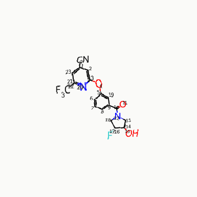 N#Cc1cc(Oc2cccc(C(=O)N3C[C@@H](O)[C@H](F)C3)c2)nc(C(F)(F)F)c1